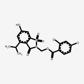 CC(C)c1cc(O)cc2c1C(=O)N(COC(=O)c1ccc(Cl)cc1Cl)S2(=O)=O